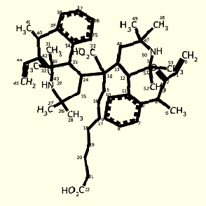 C=CC(=O)C(C)c1ccccc1C1C(C(CCCCCCCC(=O)O)(C(=O)O)C2CC(C)(C)NC(C)(C)C2c2ccccc2C(C)C(=O)C=C)CC(C)(C)NC1(C)C